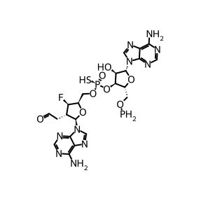 Nc1ncnc2c1ncn2[C@@H]1O[C@H](COP)[C@@H](O[P@](=O)(S)OC[C@H]2O[C@@H](n3cnc4c(N)ncnc43)[C@H](CC=O)[C@H]2F)[C@H]1O